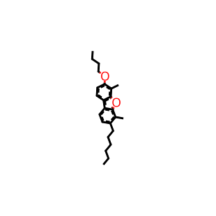 CCCCCCc1ccc2c(oc3c(C)c(OCCCC)ccc32)c1C